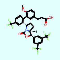 COc1ccc(CCC(=O)O)cc1-c1ccc(C(F)(F)F)cc1[C@@H]1CC[C@H]2[C@@H](c3cc(C(F)(F)F)cc(C(F)(F)F)c3)OC(=O)N12